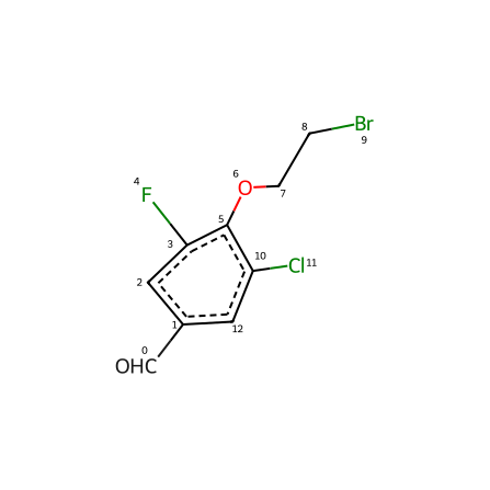 O=Cc1cc(F)c(OCCBr)c(Cl)c1